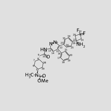 COC(=O)N(C)[C@H]1CC[C@H](CC(=O)Nc2cc(-c3ccccc3)c(-c3ccc(C4(N)CC(F)(F)C4)cc3)nn2)CC1